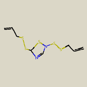 C=CCSSC1N=CN(SSCC=C)S1